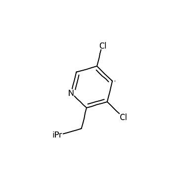 CC(C)Cc1ncc(Cl)[c]c1Cl